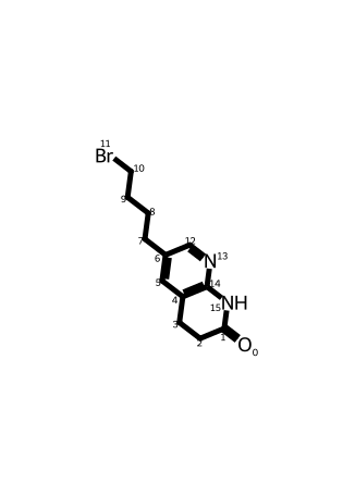 O=C1CCc2cc(CCCCBr)cnc2N1